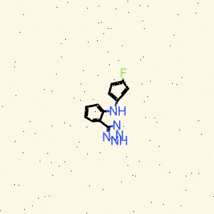 Fc1ccc(Nc2ccccc2-c2nn[nH]n2)cc1